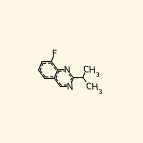 CC(C)c1ncc2cccc(F)c2n1